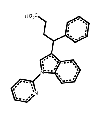 O=C(O)CCC(c1ccccc1)c1cn(-c2ccccn2)c2ccccc12